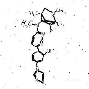 CN(c1ccc(-c2ccc(-n3ccnc3)cc2O)nn1)[C@H]1[C@H](F)[C@@]2(C)C[C@]1(C)CN2C